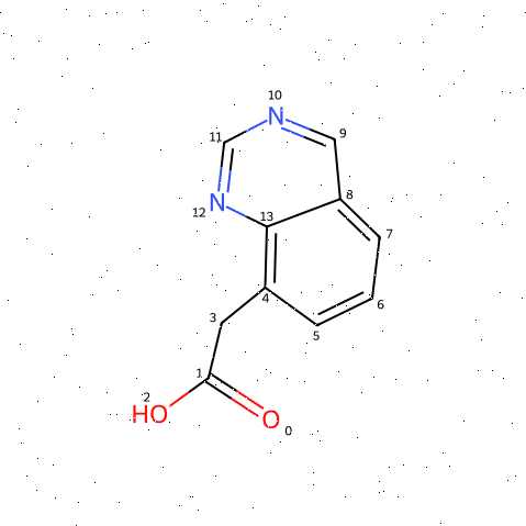 O=C(O)Cc1cccc2cncnc12